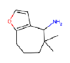 CC1(C)CCCc2occc2C1N